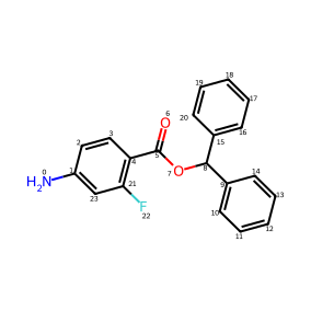 Nc1ccc(C(=O)OC(c2ccccc2)c2ccccc2)c(F)c1